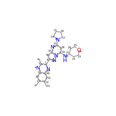 Cc1cc2nc(C)c(-c3cc4nc(N5CCCC5)cc(NC5CCOCC5)n4n3)nc2cc1C